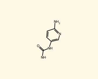 [NH]C(=O)Nc1ccc(N)nc1